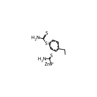 CCc1ccccc1.NC(=S)[S-].NC(=S)[S-].[Zn+2]